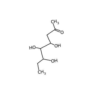 CCC(O)C(O)C(O)CC(C)=O